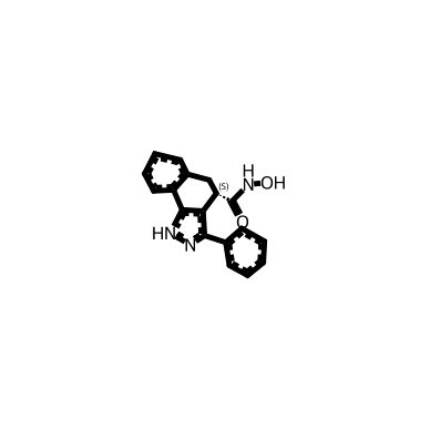 O=C(NO)[C@H]1Cc2ccccc2-c2[nH]nc(-c3ccccc3)c21